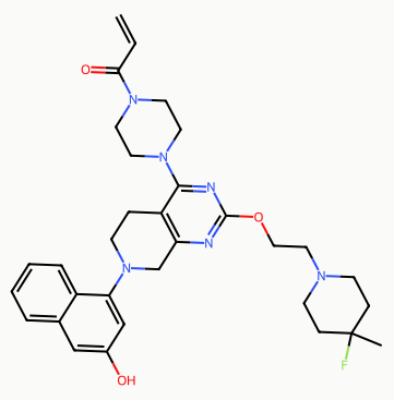 C=CC(=O)N1CCN(c2nc(OCCN3CCC(C)(F)CC3)nc3c2CCN(c2cc(O)cc4ccccc24)C3)CC1